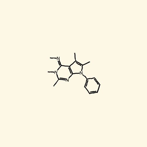 CN=c1c2c(C)c(C)n(-c3ccccc3)c2nc(C)n1C